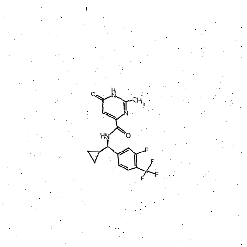 Cc1nc(C(=O)N[C@@H](c2ccc(C(F)(F)F)c(F)c2)C2CC2)cc(=O)[nH]1